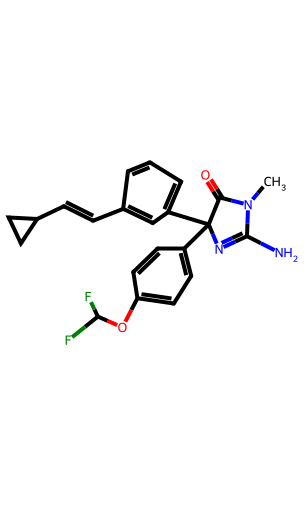 CN1C(=O)C(c2ccc(OC(F)F)cc2)(c2cccc(C=CC3CC3)c2)N=C1N